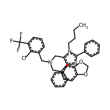 CCCCn1c(-c2ccccc2)nc(-c2ccccc2)c1CN(Cc1ccc2c(c1)OCO2)Cc1cccc(C(F)(F)F)c1Cl